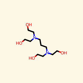 OCCN(CCO)CCCN(CCO)CCO